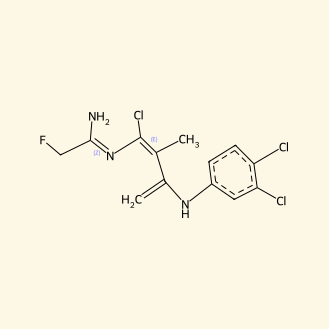 C=C(Nc1ccc(Cl)c(Cl)c1)/C(C)=C(Cl)\N=C(/N)CF